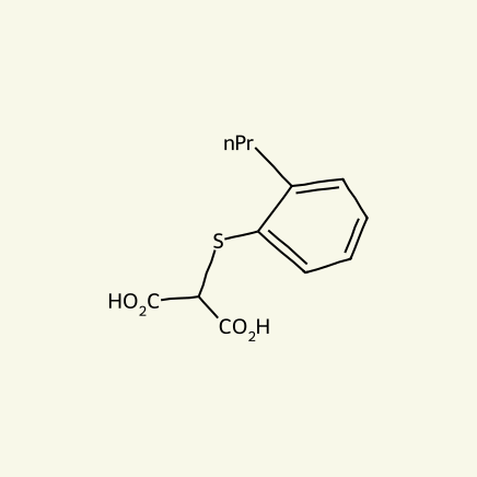 CCCc1ccccc1SC(C(=O)O)C(=O)O